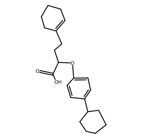 O=C(O)C(CCC1=CCCCC1)Oc1ccc(C2CCCCC2)cc1